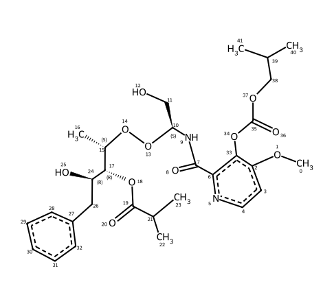 COc1ccnc(C(=O)N[C@H](CO)OO[C@@H](C)[C@H](OC(=O)C(C)C)[C@H](O)Cc2ccccc2)c1OC(=O)OCC(C)C